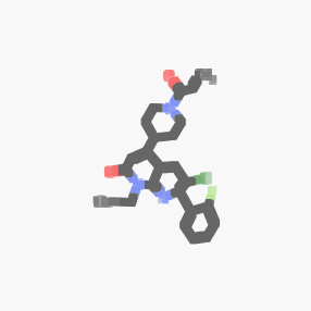 C=CC(=O)N1CCC(c2cc(=O)n(CC(C)(C)C)c3nc(-c4ccccc4F)c(Cl)cc23)CC1